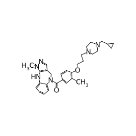 Cc1cc(C(=O)N2Cc3cnn(C)c3Nc3ccccc32)ccc1OCCCN1CCN(CC2CC2)CC1